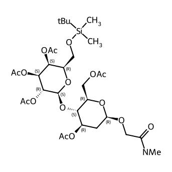 CNC(=O)CO[C@H]1C[C@@H](OC(C)=O)[C@H](O[C@@H]2O[C@H](CO[Si](C)(C)C(C)(C)C)[C@H](OC(C)=O)[C@H](OC(C)=O)[C@H]2OC(C)=O)[C@@H](COC(C)=O)O1